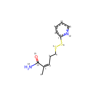 CC(=CCCSSc1ccccn1)C(N)=O